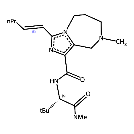 CCC/C=C/c1nc(C(=O)N[C@H](C(=O)NC)C(C)(C)C)c2n1CCCN(C)C2